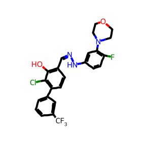 Oc1c(/C=N\Nc2ccc(F)c(N3CCOCC3)c2)ccc(-c2cccc(C(F)(F)F)c2)c1Cl